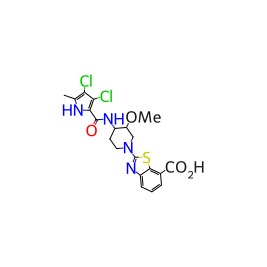 COC1CN(c2nc3cccc(C(=O)O)c3s2)CCC1NC(=O)c1[nH]c(C)c(Cl)c1Cl